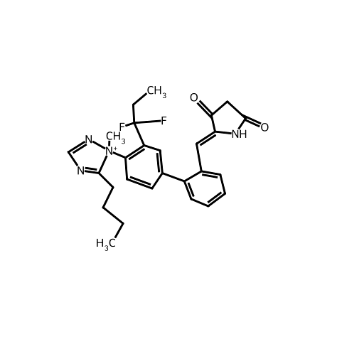 CCCCC1=NC=N[N+]1(C)c1ccc(-c2ccccc2/C=C2\NC(=O)CC2=O)cc1C(F)(F)CC